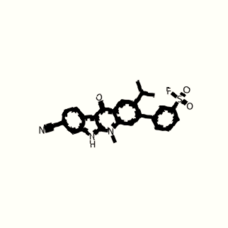 CC(C)c1cc2c(=O)c3c4ccc(C#N)cc4[nH]c3n(C)c2cc1-c1cccc(S(=O)(=O)F)c1